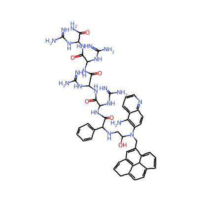 N=C(N)NC(NC(=O)C(NC(=N)N)NC(=O)C(NC(=N)N)NC(=O)C(NC(=N)N)NC(=O)C(NCC(O)N(CC1=CC2=C3C(=CC=C4C=CC=C1C43)CC=C2)c1ccc2ncccc2c1N)c1ccccc1)C(N)=O